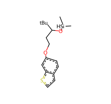 C[SiH](C)OC(CCOc1ccc2ccsc2c1)C(C)(C)C